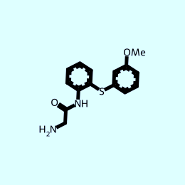 COc1cccc(Sc2ccccc2NC(=O)CN)c1